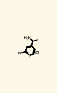 C[C@H](N)c1ccnc(Br)c1.Cl